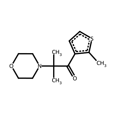 Cc1sccc1C(=O)C(C)(C)N1CCOCC1